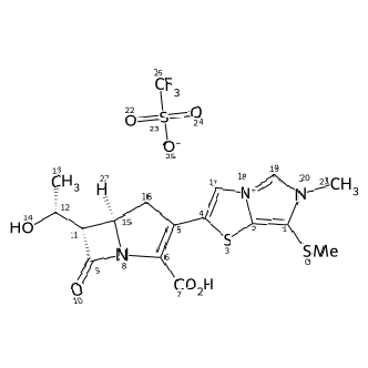 CSc1c2sc(C3=C(C(=O)O)N4C(=O)[C@H]([C@@H](C)O)[C@H]4C3)c[n+]2cn1C.O=S(=O)([O-])C(F)(F)F